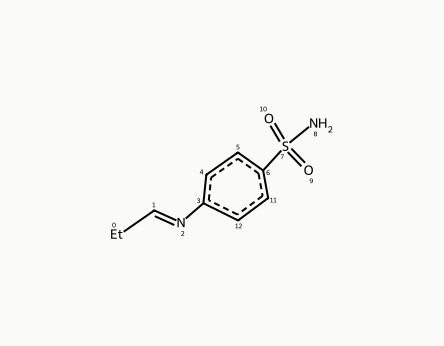 CCC=Nc1ccc(S(N)(=O)=O)cc1